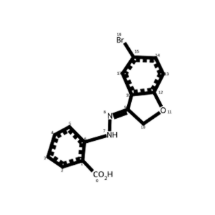 O=C(O)c1ccccc1NN=C1COc2ccc(Br)cc21